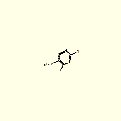 COc1cnc(Cl)cc1I